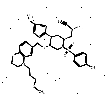 COCCCN1CCOc2ccc(CO[C@H]3CN(S(=O)(=O)c4ccc(C)cc4)[C@H](C[C@@H](C)C#N)C[C@@H]3c3ccc(OC)cc3)cc21